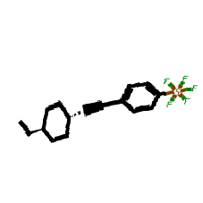 CC[C@H]1CC[C@H](C#Cc2ccc(S(F)(F)(F)(F)F)cc2)CC1